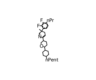 CCCCCC1CCC(C2CCC(C3=CCC(C)(c4ccc(CCC)c(F)c4F)C=N3)CO2)CC1